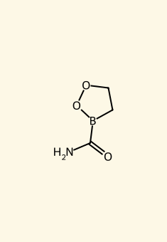 NC(=O)B1CCOO1